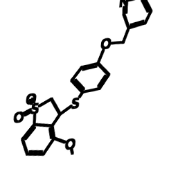 COc1cccc2c1C(Sc1ccc(OCc3cccnc3)cc1)CS2(=O)=O